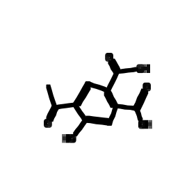 CC(=O)c1cc(C(=O)O)c(C(=O)O)cc1O